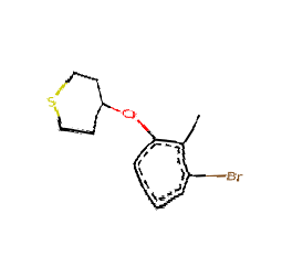 Cc1c(Br)cccc1OC1CCSCC1